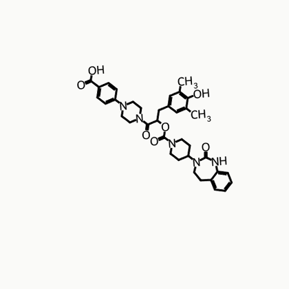 Cc1cc(CC(OC(=O)N2CCC(N3CCc4ccccc4NC3=O)CC2)C(=O)N2CCN(c3ccc(C(=O)O)cc3)CC2)cc(C)c1O